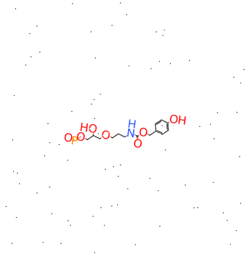 O=POCC(O)COCCCNC(=O)OCc1ccc(O)cc1